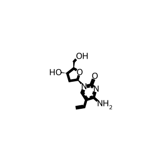 C=Cc1cn([C@H]2C[C@H](O)[C@@H](CO)O2)c(=O)nc1N